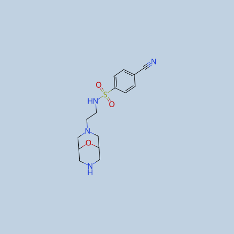 N#Cc1ccc(S(=O)(=O)NCCN2CC3CNCC(C2)O3)cc1